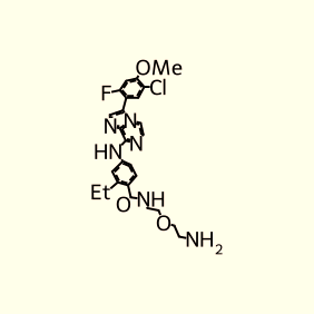 CCc1cc(Nc2nccn3c(-c4cc(Cl)c(OC)cc4F)cnc23)ccc1C(=O)NCCOCCN